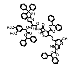 CC(=O)Oc1ccc(C(ON=C(C(=O)N[C@@H]2C(=O)N3C(C(=O)OC(c4ccccc4)c4ccccc4)=C(CSC4=CC(C)=NC5=CN(C(=O)OC(c6ccccc6)c6ccccc6)NN54)CS[C@H]23)c2csc(NC(c3ccccc3)(c3ccccc3)c3ccccc3)n2)C(=O)OC(c2ccccc2)c2ccccc2)cc1OC(C)=O